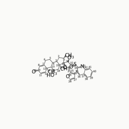 C[C@@H]1CC2C3CCC4=CC(=O)C=CC4(C)C3[C@@H](O)CC2(C)[C@@]1(OC(=O)c1ccco1)C(=O)CSc1ccc2ccccc2n1